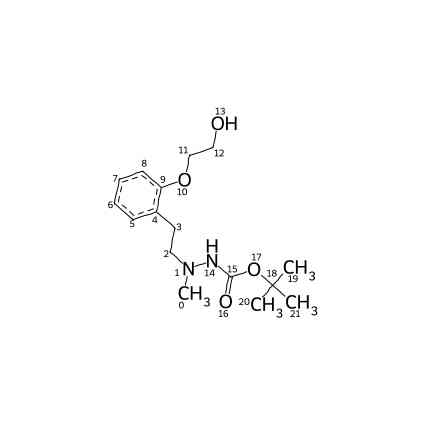 CN(CCc1ccccc1OCCO)NC(=O)OC(C)(C)C